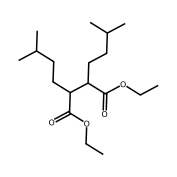 CCOC(=O)C(CCC(C)C)C(CCC(C)C)C(=O)OCC